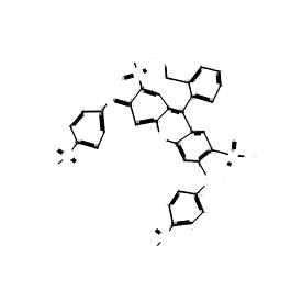 O=C(O)c1ccccc1-c1c2cc(S(=O)(=O)O)/c(=N/c3ccc(S(=O)(=O)O)cc3)cc-2oc2cc(Nc3ccc(S(=O)(=O)O)cc3)c(S(=O)(=O)O)cc12